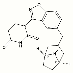 CN1[C@@H]2CC[C@H]1CC(Cc1ccc3onc(N4CCC(=O)NC4=O)c3c1)C2